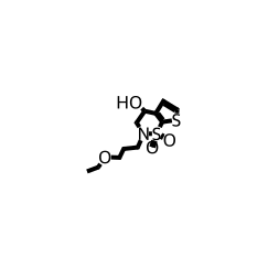 CCOCCCN1CC(O)c2ccsc2S1(=O)=O